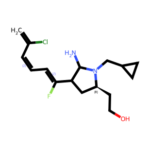 C=C(Cl)/C=C\C=C(/F)C1C[C@H](CCO)N(CC2CC2)C1N